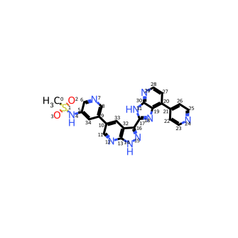 CS(=O)(=O)Nc1cncc(-c2cnc3[nH]nc(-c4nc5c(-c6ccncc6)ccnc5[nH]4)c3c2)c1